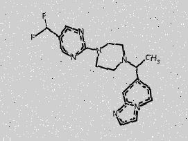 CC(c1ccn2ccnc2c1)N1CCN(c2ncc(C(F)F)cn2)CC1